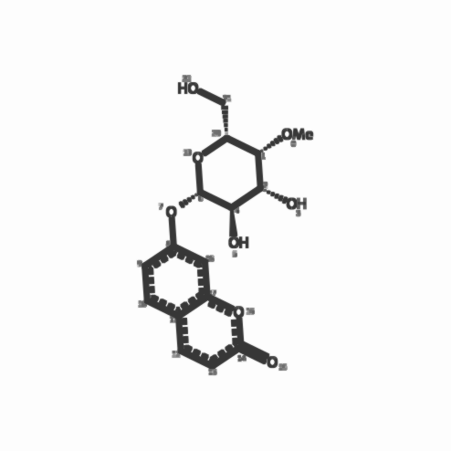 CO[C@@H]1[C@H](O)[C@@H](O)[C@H](Oc2ccc3ccc(=O)oc3c2)O[C@@H]1CO